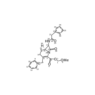 COCOC(=O)C1=C(C[n+]2ccccc2)CS[C@H]2C(NC(=O)Cc3cccs3)C(=O)N12